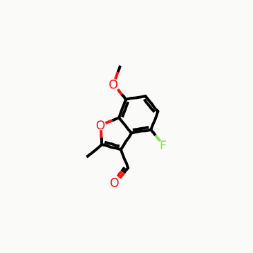 COc1ccc(F)c2c(C=O)c(C)oc12